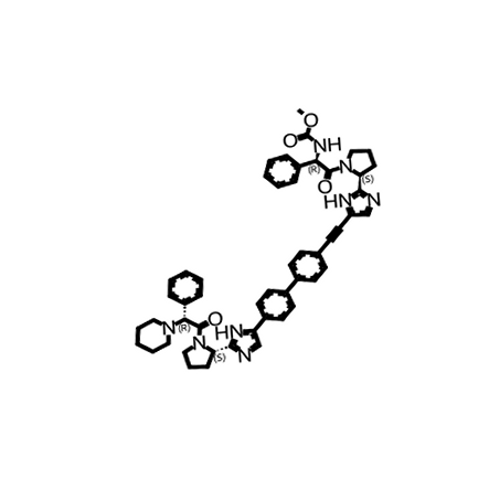 COC(=O)N[C@@H](C(=O)N1CCC[C@H]1c1ncc(C#Cc2ccc(-c3ccc(-c4cnc([C@@H]5CCCN5C(=O)[C@@H](c5ccccc5)N5CCCCC5)[nH]4)cc3)cc2)[nH]1)c1ccccc1